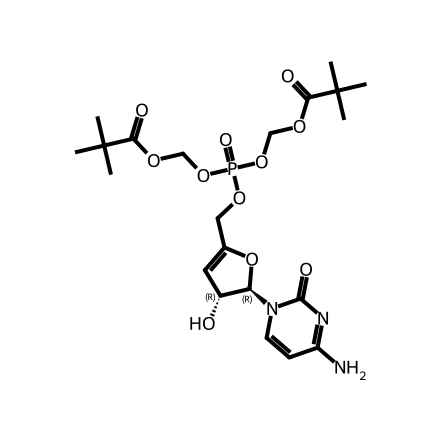 CC(C)(C)C(=O)OCOP(=O)(OCOC(=O)C(C)(C)C)OCC1=C[C@@H](O)[C@H](n2ccc(N)nc2=O)O1